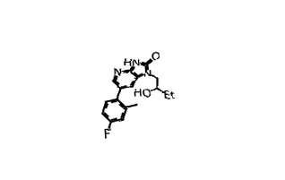 CCC(O)Cn1c(=O)[nH]c2ncc(-c3ccc(F)cc3C)cc21